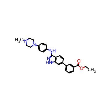 CCOC(=O)c1cccc(-c2ccc3c(Nc4ccc(N5CCN(C)CC5)cc4)n[nH]c3c2)c1